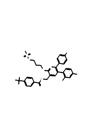 CS(=O)(=O)NCCCOc1nc(-c2ccc(Cl)cc2)c(-c2ccc(Cl)cc2Cl)cc1CNC(=O)c1ccc(C(F)(F)F)cc1